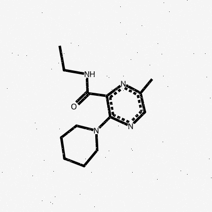 CCNC(=O)c1nc(C)cnc1N1CCCCC1